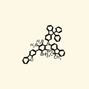 Bc1c(B)c(N(c2ccc3c(c2)C(C)(C)c2ccccc2-3)c2ccc3c(c2)C(c2ccccc2)(c2ccccc2)c2ccccc2-3)c(B)c(B)c1-c1ccc2c(c1)oc1ccccc12